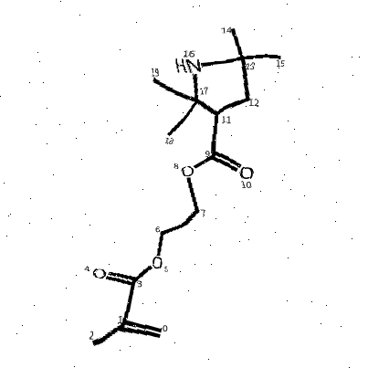 C=C(C)C(=O)OCCOC(=O)C1CC(C)(C)NC1(C)C